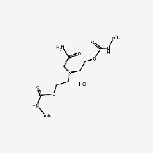 CCCCNC(=O)OCCN(CCOC(=O)NCCCC)CC(N)=O.Cl